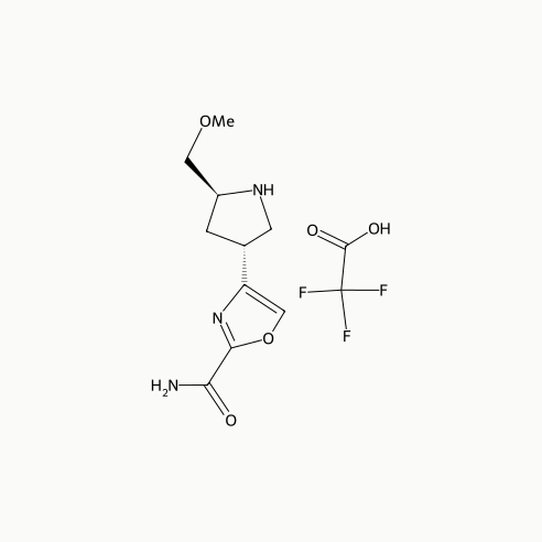 COC[C@@H]1C[C@@H](c2coc(C(N)=O)n2)CN1.O=C(O)C(F)(F)F